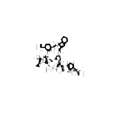 C=C[C@@H]1C[C@]1(NC(=O)[C@@H]1C[C@@H](Oc2nc(-c3ccc(C(F)(F)F)cc3)nc3c2oc2ccccc23)CN1C(=O)[C@@H](Nc1ccc(C(=O)NC)cc1)C(C)(C)C)C(=O)NS(=O)(=O)C1CC1